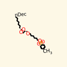 CCCCCCCCCCCCCCCCC[C@H]1OC[C@H](COCCCCCCOS(=O)(=O)c2ccc(C)cc2)O1